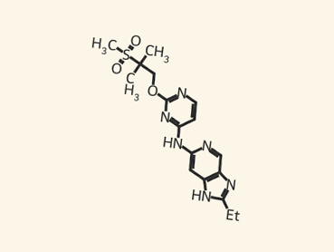 CCc1nc2cnc(Nc3ccnc(OCC(C)(C)S(C)(=O)=O)n3)cc2[nH]1